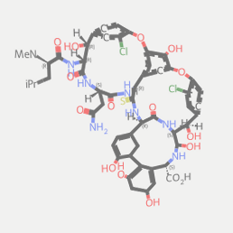 CN[C@H](CC(C)C)C(=O)N[C@H]1C(=O)N[C@@H](CC(N)=O)C(=O)N[C@H]2C(=S)N[C@H]3C(=O)N[C@H](C(O)N[C@H](C(=O)O)C4=CC(O)CC(O)=C4C4CC3=CC=C4O)[C@H](O)c3ccc(c(Cl)c3)Oc3cc2cc(c3O)Oc2ccc(cc2Cl)[C@H]1O